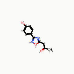 CC(=O)Cc1nc(-c2ccc(Br)cc2)no1